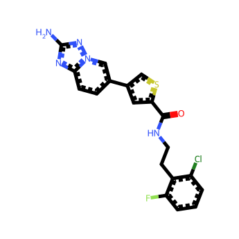 Nc1nc2ccc(-c3csc(C(=O)NCCc4c(F)cccc4Cl)c3)cn2n1